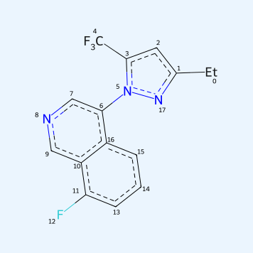 CCc1cc(C(F)(F)F)n(-c2cncc3c(F)cccc23)n1